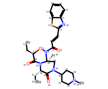 CC(C)C[C@H]1ON(C(=O)/C=C/c2nc3ccccc3s2)[C@H]2CN(C3CCN(C(C)C)CC3)C(=O)[C@H](CC(C)(C)C)N2C1=O